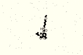 CCOCCCCCCNC(=O)OC1CC[C@]2(CO2)C([C@@]2(C)O[C@@H]2CC=C(C)C)C1OC